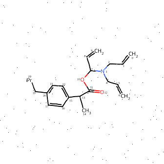 C=CCN(CC=C)C(C=C)OC(=O)C(C)c1ccc(CC(C)C)cc1